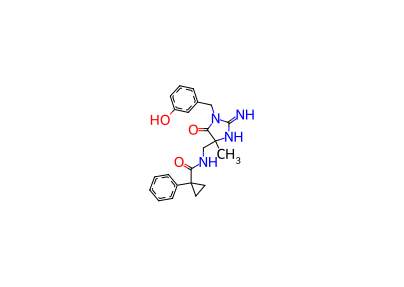 CC1(CNC(=O)C2(c3ccccc3)CC2)NC(=N)N(Cc2cccc(O)c2)C1=O